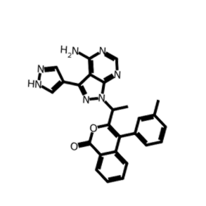 Cc1cccc(-c2c(C(C)n3nc(-c4cn[nH]c4)c4c(N)ncnc43)oc(=O)c3ccccc23)c1